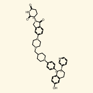 O=C1CC[C@@H](N2Cc3cc(N4CCN(CC5CCN(c6ccc([C@@H]7c8ccc(O)cc8CC[C@@H]7c7cccnc7)cc6)CC5)CC4)ccc3C2=O)C(=O)N1